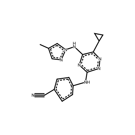 Cc1cnn(Nc2nc(Nc3ccc(C#N)cc3)nnc2C2CC2)c1